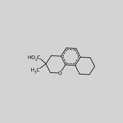 CC1(C(=O)O)COc2c(ccc3c2CCCC3)C1